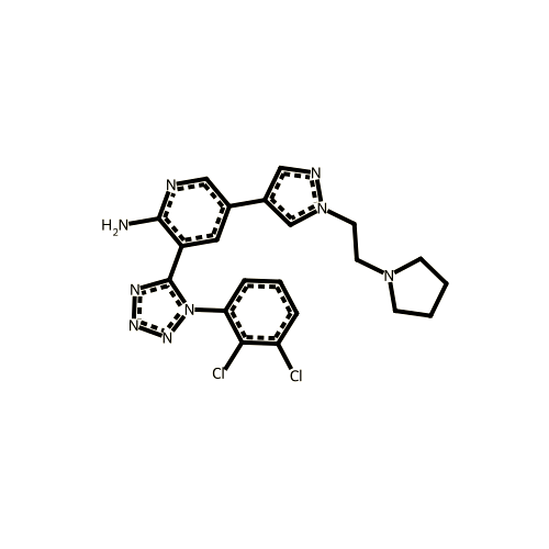 Nc1ncc(-c2cnn(CCN3CCCC3)c2)cc1-c1nnnn1-c1cccc(Cl)c1Cl